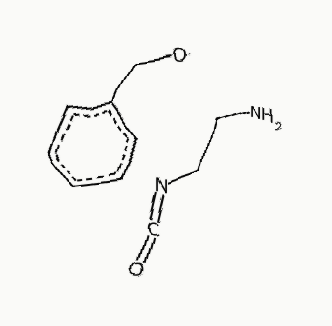 NCCN=C=O.[O]Cc1ccccc1